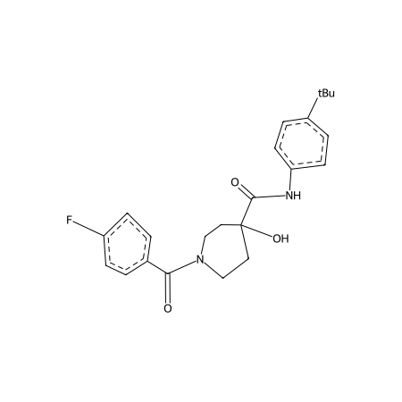 CC(C)(C)c1ccc(NC(=O)C2(O)CCN(C(=O)c3ccc(F)cc3)CC2)cc1